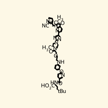 C[C@@H]1CN(c2ncc(-c3ccc4c(n3)N(Cc3cccnc3C#N)C(C)(C)C4=O)cn2)CCN1C(=O)COCCNc1cccc(Oc2ccc(C(=O)NC(CCC(C)(C)C)C(=O)O)cn2)c1